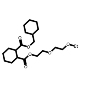 CCOCCOCCOC(=O)C1CCCCC1C(=O)OCC1CCCCC1